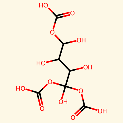 O=C(O)OC(O)C(O)C(O)C(O)(OC(=O)O)OC(=O)O